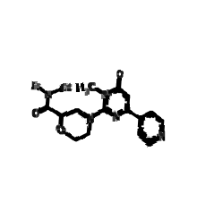 CCN(CC)C(=O)C1CN(c2nc(-c3ccncc3)cc(=O)n2C)CCO1